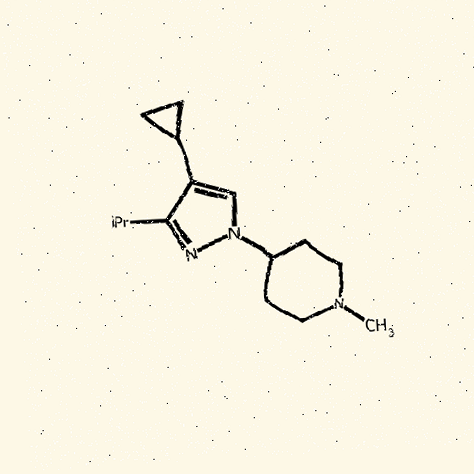 CC(C)c1nn(C2CCN(C)CC2)cc1C1CC1